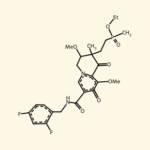 CCOP(C)(=O)CCC1(C)C(=O)c2c(OC)c(=O)c(C(=O)NCc3ccc(F)cc3F)cn2CC1OC